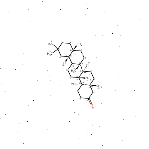 CC1(C)CC[C@]2(C)CC[C@@]3(C)C(CC[C@@]4(C)[C@@H]5CCC(=O)C[C@@]5(C)CC[C@@H]43)[C@@H]2C1